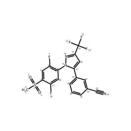 CS(=O)(=O)c1cc(F)c(-n2nc(C(F)(F)F)cc2-c2cccc(C#N)c2)cc1F